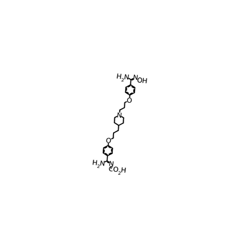 N/C(=N\C(=O)O)c1ccc(OCCCC2CCN(CCCOc3ccc(/C(N)=N\O)cc3)CC2)cc1